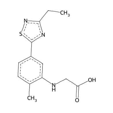 CCc1nsc(-c2ccc(C)c(NCC(=O)O)c2)n1